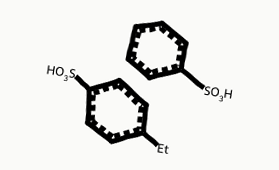 CCc1ccc(S(=O)(=O)O)cc1.O=S(=O)(O)c1ccccc1